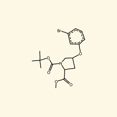 COC(=O)C1CC(Oc2cccc(Br)c2)CN1C(=O)OC(C)(C)C